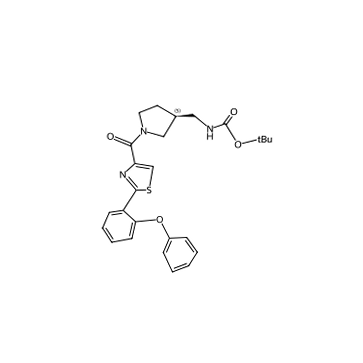 CC(C)(C)OC(=O)NC[C@@H]1CCN(C(=O)c2csc(-c3ccccc3Oc3ccccc3)n2)C1